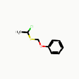 CC(Cl)SCOc1ccccc1